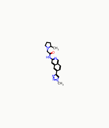 CC1CCCN1CC(=O)Nc1cc2cc(-c3cn(C)nn3)ccc2cn1